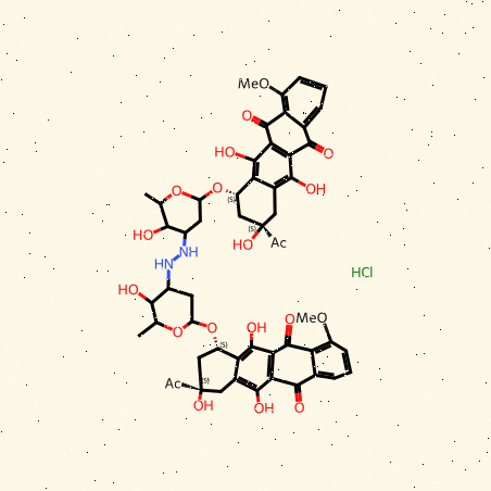 COc1cccc2c1C(=O)c1c(O)c3c(c(O)c1C2=O)C[C@@](O)(C(C)=O)C[C@@H]3OC1CC(NNC2CC(O[C@H]3C[C@](O)(C(C)=O)Cc4c(O)c5c(c(O)c43)C(=O)c3c(OC)cccc3C5=O)OC(C)C2O)C(O)C(C)O1.Cl